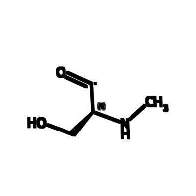 CN[C@H]([C]=O)CO